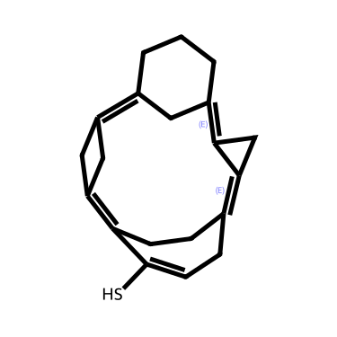 SC1=CC/C2=C3\C\C3=C3\CCCC(=C4CC(=C1CC2)C4)C3